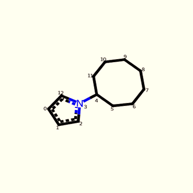 c1ccn(C2CCCCCCC2)c1